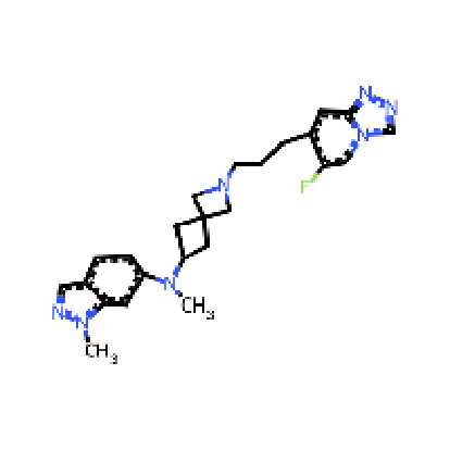 CN(c1ccc2cnn(C)c2c1)C1CC2(C1)CN(CCCc1cc3nncn3cc1F)C2